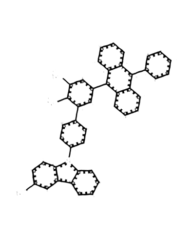 N#Cc1ccc2c(c1)c1ccccc1n2-c1ccc(-c2cc(-c3c4ccccc4c(-c4ccccc4)c4ccccc34)cc(C#N)c2C#N)cc1